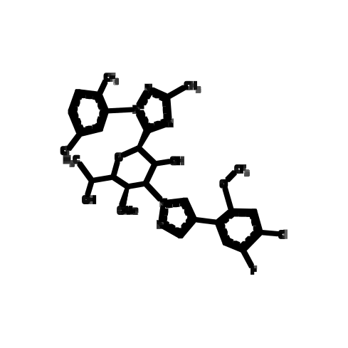 CO[C@H]1C(C(C)O)O[C@@H](c2nc(C)nn2-c2cc(Cl)ccc2C(F)(F)F)C(O)C1n1cc(-c2cc(F)c(Cl)cc2OC(F)(F)F)cn1